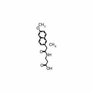 C.COc1ccc2cc(CC(=O)NCCC(=O)O)ccc2c1